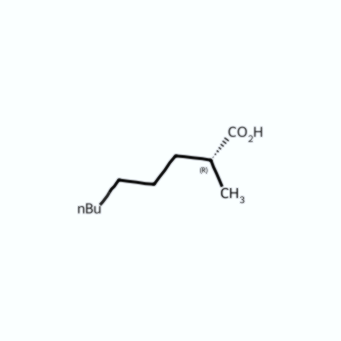 CCCCCCC[C@@H](C)C(=O)O